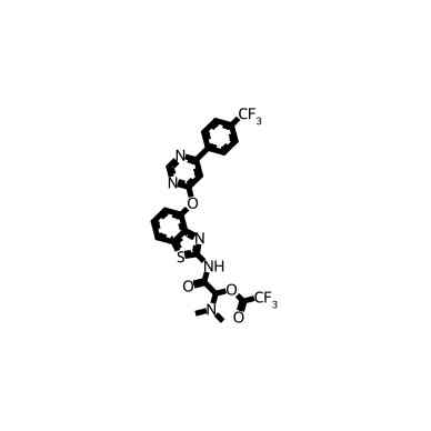 CN(C)C(OC(=O)C(F)(F)F)C(=O)Nc1nc2c(Oc3cc(-c4ccc(C(F)(F)F)cc4)ncn3)cccc2s1